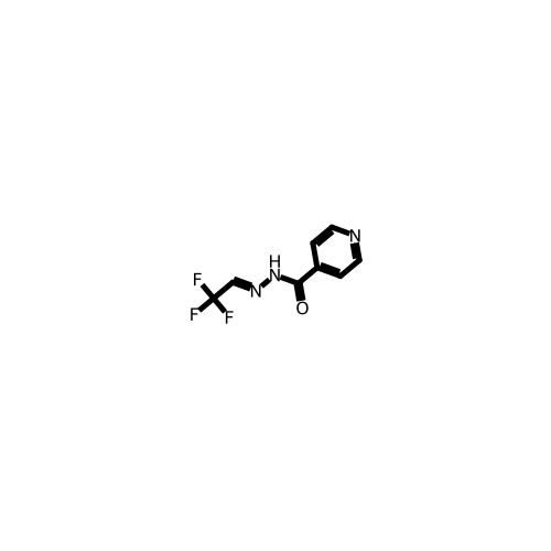 O=C(NN=CC(F)(F)F)c1ccncc1